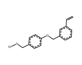 C=Cc1cccc(COc2ccc(COCC)cc2)c1